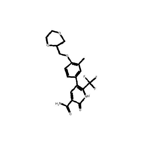 Cc1cc(-c2cc(C(N)=O)c(=O)[nH]c2C(F)(F)F)ccc1OCC1COCCO1